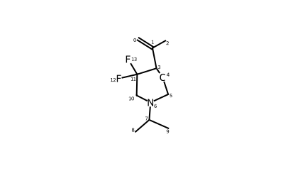 C=C(C)C1CCN(C(C)C)CC1(F)F